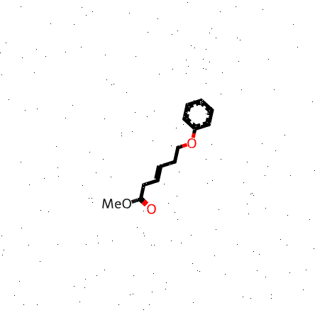 COC(=O)CC=CCCOc1ccccc1